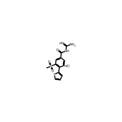 CS(=O)(=O)c1cc(C(=O)NC(=N)N)ccc1-c1cccs1.Cl